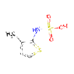 Cc1ccsc1NS(=O)(=O)O